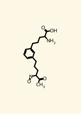 CC(=O)C(CCCc1cccc(CCCC(N)C(=O)O)c1)N=O